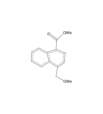 COCc1ccc(C(=O)OC)c2ccccc12